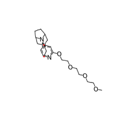 CCN1CC2CCC(C1)N2c1ccnc(OCCOCCOCCOC)c1